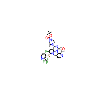 Cc1ccnc(C(C)C)c1N1C(=C=O)N=C(N2CCN(C(=O)OC(C)(C)C)C[C@@H]2C)c2cc(F)c(Sc3cccnc3C(F)(F)F)nc21